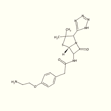 CC1(C)S[C@H]2C(NC(=O)Cc3ccc(OCCN)cc3)C(=O)N2C1c1nnn[nH]1